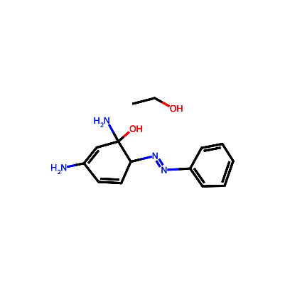 CCO.NC1=CC(N)(O)C(N=Nc2ccccc2)C=C1